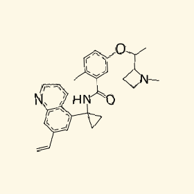 C=Cc1cc(C2(NC(=O)c3cc(OC(C)C4CCN4C)ccc3C)CC2)c2cccnc2c1